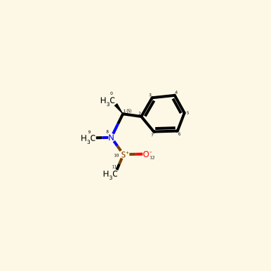 C[C@@H](c1ccccc1)N(C)[S+](C)[O-]